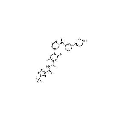 Cc1cc(-c2cc(Nc3cccc(N4CCNCC4)c3)ncn2)c(F)cc1C(C)NC(=O)c1nc(C(C)(C)C)no1